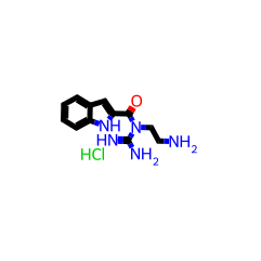 Cl.N=C(N)N(CCN)C(=O)c1cc2ccccc2[nH]1